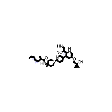 C=C(/C=C\C=C/C)C(=O)NC1(C)CCN(c2ccc(C3=CC(OCC4(C#N)CC4)=CN/C3=C(/C#N)C=N)cn2)CC1